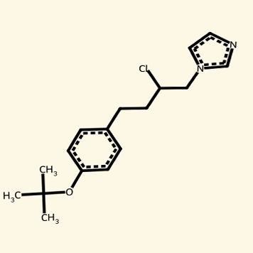 CC(C)(C)Oc1ccc(CCC(Cl)Cn2ccnc2)cc1